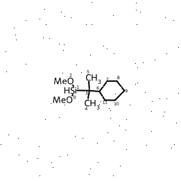 CO[SiH](OC)C(C)(C)C1CCCCC1